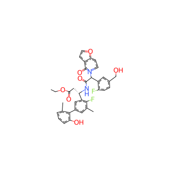 CCOC(=O)C[C@H](NC(=O)C(c1cc(CO)ccc1F)n1ccc2occc2c1=O)c1cc(-c2c(C)cccc2O)cc(C)c1F